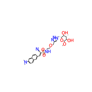 CO[C@H]1O[C@H](Cn2cc(COCCNS(=O)(=O)/C(C#N)=C/c3ccc4cc(N(C)C)ccc4c3)nn2)[C@@H](O)[C@H](C)[C@H]1O